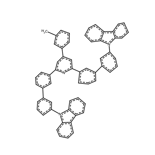 Cc1cccc(-c2cc(-c3cccc(-c4cccc(-n5c6ccccc6c6ccccc65)c4)c3)nc(-c3cccc(-c4cccc(-n5c6ccccc6c6ccccc65)c4)c3)c2)c1